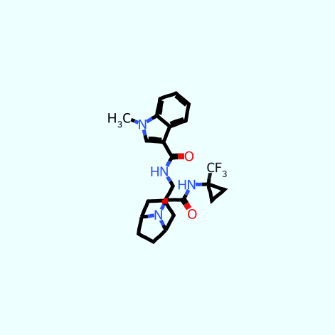 Cn1cc(C(=O)NCC2CC3CCC(C2)N3CC(=O)NC2(C(F)(F)F)CC2)c2ccccc21